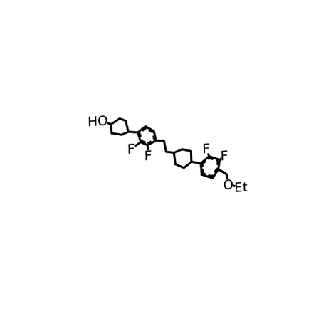 CCOCc1ccc(C2CCC(CCc3ccc(C4CCC(O)CC4)c(F)c3F)CC2)c(F)c1F